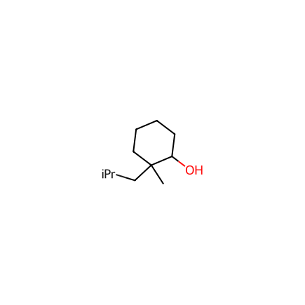 CC(C)CC1(C)CCCCC1O